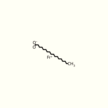 CCCCCCCCCCCCCCCCCC(=O)[O-].[Fr+]